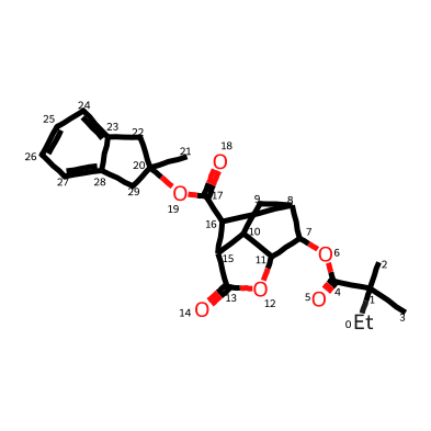 CCC(C)(C)C(=O)OC1C2CC3C1OC(=O)C3C2C(=O)OC1(C)Cc2ccccc2C1